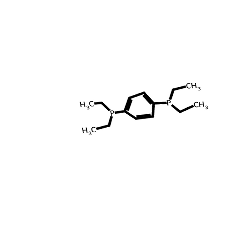 CCP(CC)c1ccc(P(CC)CC)cc1